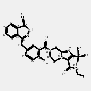 CCOC(=O)c1c(C(F)(F)F)nc2n1CCN(C(=O)c1cc(Cc3n[nH]c(=O)c4ccccc34)ccc1F)C2